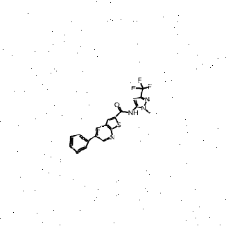 Cn1nc(C(F)(F)F)cc1NC(=O)c1cc2cc(-c3ccccc3)cnc2s1